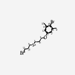 Cc1cc(OCCCSCCCBr)cc(C)c1Br